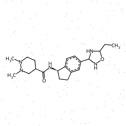 CCC1NC(c2ccc3c(c2)CC[C@H]3NC(=O)C2CCN(C)N(C)C2)NO1